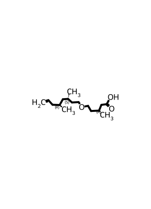 C=CC[C@H](C)C[C@H](C)CCOCC[C@@H](C)CC(=O)O